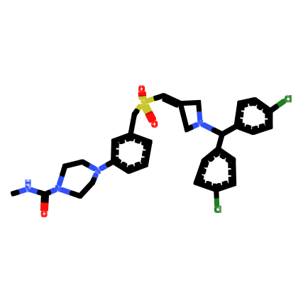 CNC(=O)N1CCN(c2cccc(CS(=O)(=O)C=C3CN(C(c4ccc(Cl)cc4)c4ccc(Cl)cc4)C3)c2)CC1